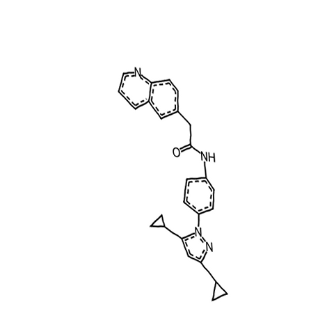 O=C(Cc1ccc2ncccc2c1)Nc1ccc(-n2nc(C3CC3)cc2C2CC2)cc1